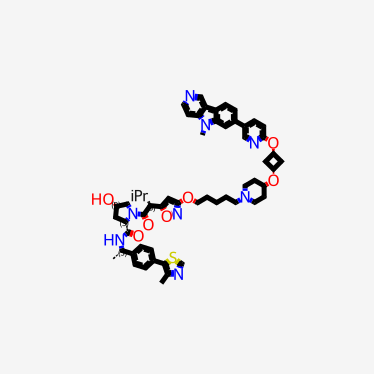 Cc1ncsc1-c1ccc([C@H](C)NC(=O)[C@@H]2C[C@@H](O)CN2C(=O)[C@H](c2cc(OCCCCCN3CCC(O[C@H]4C[C@H](Oc5ccc(-c6ccc7c8cnccc8n(C)c7c6)cn5)C4)CC3)no2)C(C)C)cc1